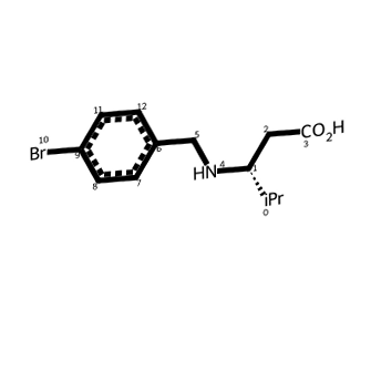 CC(C)[C@@H](CC(=O)O)NCc1ccc(Br)cc1